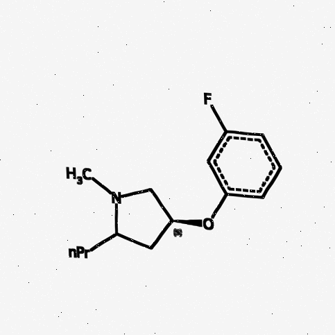 CCCC1C[C@H](Oc2cccc(F)c2)CN1C